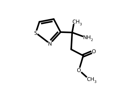 COC(=O)CC(C)(N)c1ccsn1